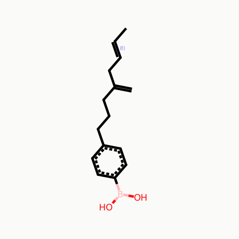 C=C(C/C=C/C)CCCc1ccc(B(O)O)cc1